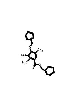 Cc1cc(C(=O)OCc2ccccc2)c(C)c(C)c1OCc1ccccc1